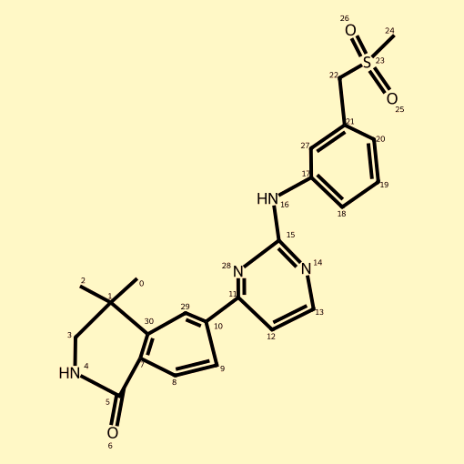 CC1(C)CNC(=O)c2ccc(-c3ccnc(Nc4cccc(CS(C)(=O)=O)c4)n3)cc21